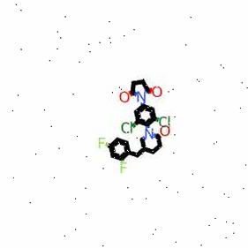 O=C1CCC(Cc2ccc(F)cc2F)CN1c1c(Cl)cc(N2C(=O)CCC2=O)cc1Cl